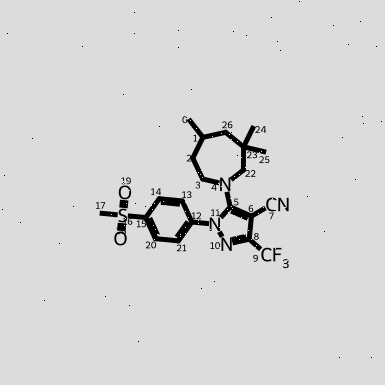 CC1CCN(c2c(C#N)c(C(F)(F)F)nn2-c2ccc(S(C)(=O)=O)cc2)CC(C)(C)C1